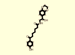 O=C(CCCCCC(=O)c1ccc(O)cc1)NCC(O)c1ccc2c(c1)OCCO2